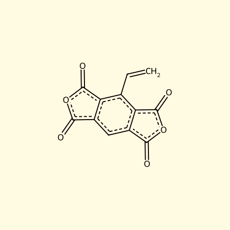 C=Cc1c2c(=O)oc(=O)c2cc2c(=O)oc(=O)c12